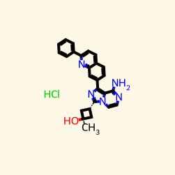 C[C@]1(O)C[C@H](c2nc(-c3ccc4ccc(-c5ccccc5)nc4c3)c3c(N)nccn32)C1.Cl